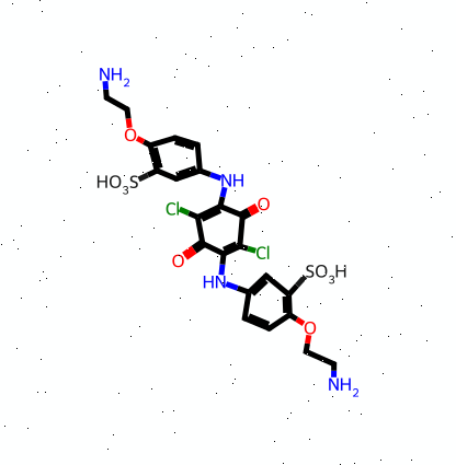 NCCOc1ccc(NC2=C(Cl)C(=O)C(Nc3ccc(OCCN)c(S(=O)(=O)O)c3)=C(Cl)C2=O)cc1S(=O)(=O)O